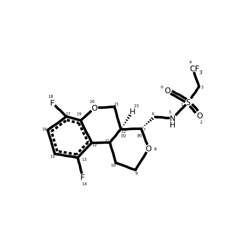 O=S(=O)(CC(F)(F)F)NC[C@@H]1OCCC2c3c(F)ccc(F)c3OC[C@H]21